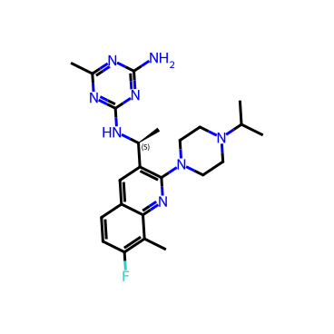 Cc1nc(N)nc(N[C@@H](C)c2cc3ccc(F)c(C)c3nc2N2CCN(C(C)C)CC2)n1